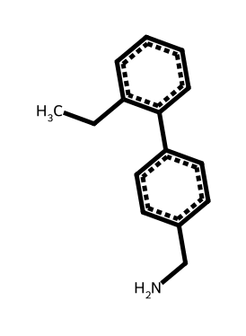 CCc1ccccc1-c1ccc(CN)cc1